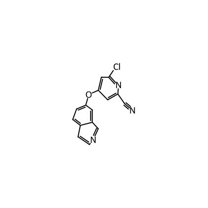 N#Cc1cc(Oc2ccc3ccncc3c2)cc(Cl)n1